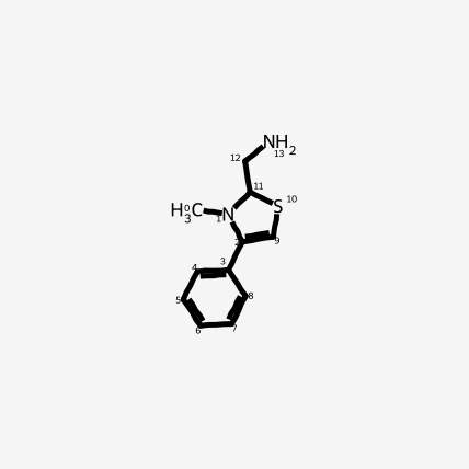 CN1C(c2ccccc2)=CSC1CN